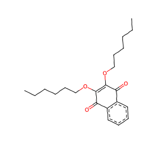 CCCCCCOC1=C(OCCCCCC)C(=O)c2ccccc2C1=O